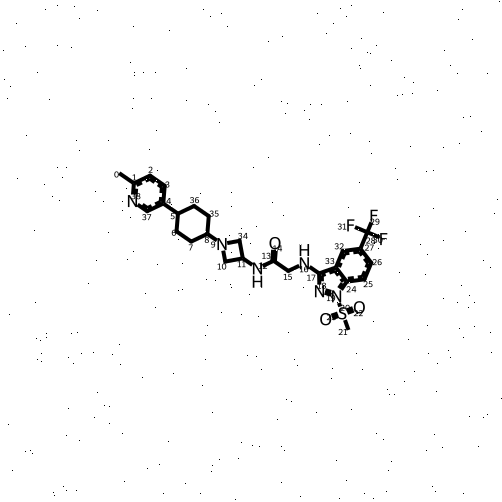 Cc1ccc(C2CCC(N3CC(NC(=O)CNc4nn(S(C)(=O)=O)c5ccc(C(F)(F)F)cc45)C3)CC2)cn1